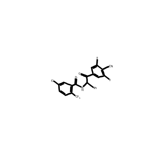 CC(C)C(NC(=O)c1cc(Cl)ccc1C(F)(F)F)C(=O)c1cc(F)c(C#N)c(F)c1